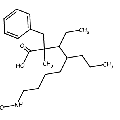 CCCC(CCCCNO)[C](CC)C(C)(Cc1ccccc1)C(=O)O